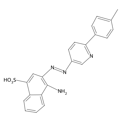 Cc1ccc(-c2ccc(N=Nc3cc(S(=O)(=O)O)c4ccccc4c3N)cn2)cc1